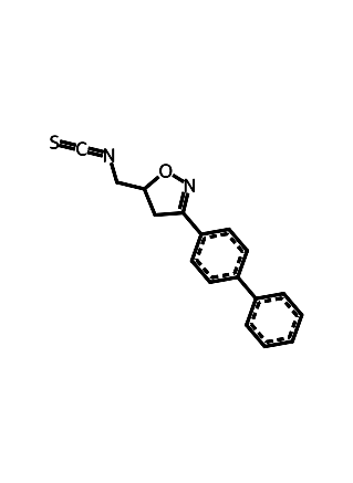 S=C=NCC1CC(c2ccc(-c3ccccc3)cc2)=NO1